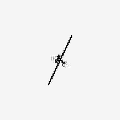 CCCCCCCCCCCCCCCCCCc1c(CCC(=O)O)c(CCCCCCCCCCCCCCCCCC)c(C(C)(C)C)c(O)c1C(C)(C)C